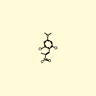 C/C(=C\c1c(Cl)cc(N(C)C)cc1Cl)[N+](=O)[O-]